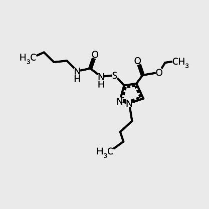 CCCCNC(=O)NSc1nn(CCCC)cc1C(=O)OCC